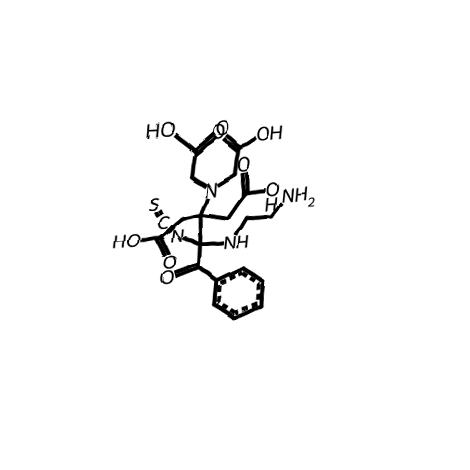 NCCNC(N=C=S)(C(=O)c1ccccc1)C(CC(=O)O)(CC(=O)O)N(CC(=O)O)CC(=O)O